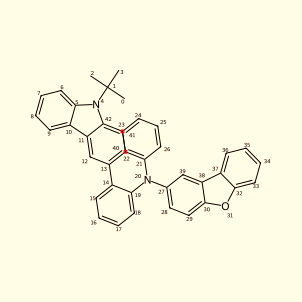 CC(C)(C)n1c2ccccc2c2cc(-c3ccccc3N(c3ccccc3)c3ccc4oc5ccccc5c4c3)ccc21